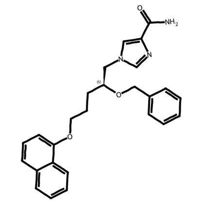 NC(=O)c1cn(C[C@H](CCCOc2cccc3ccccc23)OCc2ccccc2)cn1